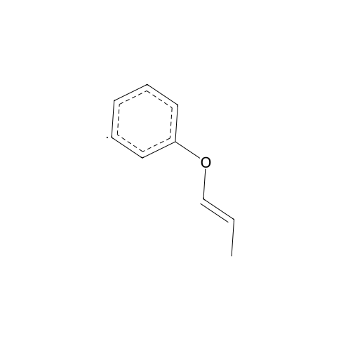 CC=COc1c[c]ccc1